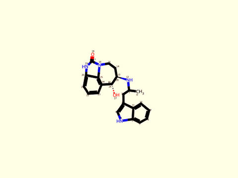 CC(Cc1c[nH]c2ccccc12)N[C@@H]1CCn2c(=O)[nH]c3cccc(c32)[C@H]1O